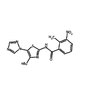 CCCCc1nc(NC(=O)c2cccc([N+](=O)[O-])c2C)sc1-n1cncn1